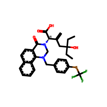 C=C(CC(O)(CC)CC)[C@@H](C(=O)O)N1CN(Cc2ccc(SC(F)(F)F)cc2)c2c(ccc3ccccc23)C1=O